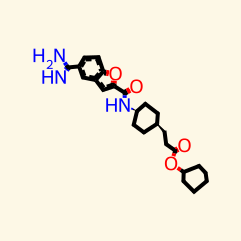 N=C(N)c1ccc2oc(C(=O)N[C@H]3CC[C@H](CCC(=O)OC4CCCCC4)CC3)cc2c1